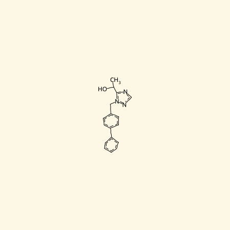 CC(O)c1ncnn1Cc1ccc(-c2ccccc2)cc1